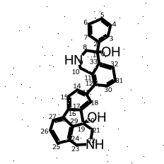 OC1(c2ccccc2)CNCc2c(-c3ccc4c(c3)C3(O)CNCc5cccc-4c53)cccc21